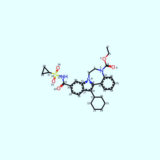 CCOC(=O)N1CCn2c(c(C3CCCCC3)c3ccc(C(=O)NS(=O)(=O)C4CC4)cc32)-c2ccccc21